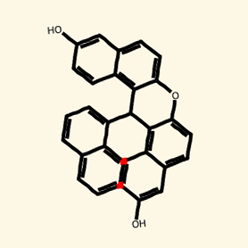 Oc1ccc2c3c(ccc2c1)Oc1ccc2cc(O)ccc2c1C3c1cccc2ccccc12